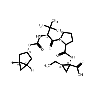 CC[C@@H]1C[C@]1(NC(=O)C1CCCN1C(=O)[C@@H](NC(=O)O[C@@H]1C[C@@H]2C[C@@H]2C1)C(C)(C)C)C(=O)O